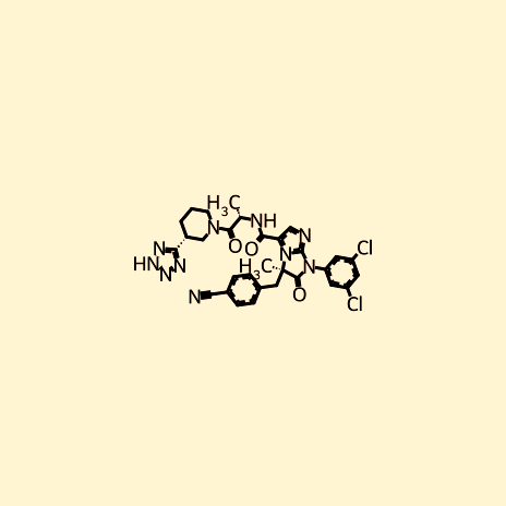 C[C@H](NC(=O)c1cnc2n1[C@](C)(Cc1ccc(C#N)cc1)C(=O)N2c1cc(Cl)cc(Cl)c1)C(=O)N1CCC[C@@H](c2nn[nH]n2)C1